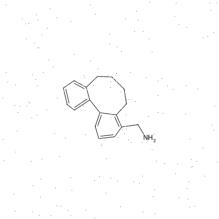 NCc1cccc2c1CCCCc1ccccc1-2